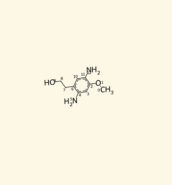 COc1cc(N)c(CCO)cc1N